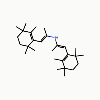 CC1=C(/C=C(\C)N/C(C)=C/C2=C(C)C(C)(C)CCC2(C)C)C(C)(C)CCC1(C)C